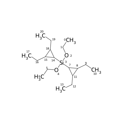 CCO[Si](OCC)(C1C(CC)C1CC)C1C(CC)C1CC